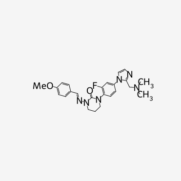 COc1ccc(C=NN2CCCN(c3ccc(-n4ccnc4CN(C)C)cc3F)C2=O)cc1